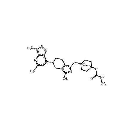 CNC(=O)OC12CCC(Cn3nc(C)c4c3CCN(c3cc(C)nc5c3cnn5C)C4)(CC1)CC2